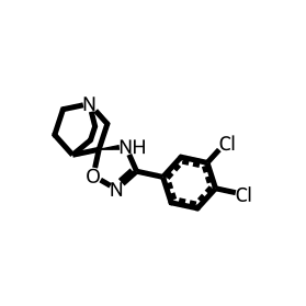 Clc1ccc(C2=NO[C@]3(CN4CCC3CC4)N2)cc1Cl